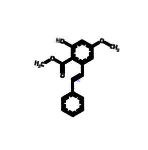 COC(=O)c1c(O)cc(OC)cc1/C=C/c1ccccc1